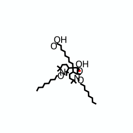 CCCCCCCCON1C(C)(C)CCC(C(CCCCCCCC(=O)O)(C(=O)O)C2CCC(C)(C)N(OCCCCCCCC)C2(C)C)C1(C)C